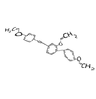 C=COc1ccc(C#Cc2ccc(-c3ccc(OC=C)cc3)c(OC=C)c2)cc1